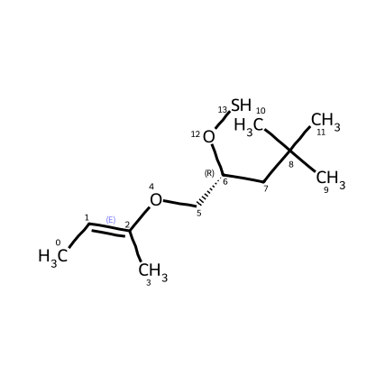 C/C=C(\C)OC[C@@H](CC(C)(C)C)OS